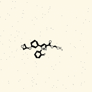 CCOC(=O)c1cc(-c2cccc(OC3COC3)c2)n(-c2ccccc2F)n1